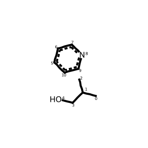 CC(C)CO.c1ccncc1